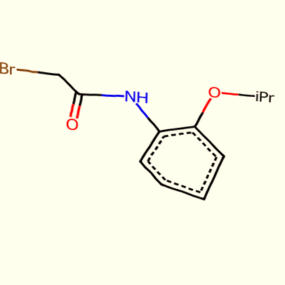 CC(C)Oc1ccccc1NC(=O)CBr